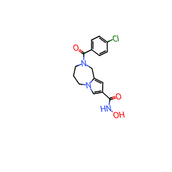 O=C(NO)c1cc2n(c1)CCCN(C(=O)c1ccc(Cl)cc1)C2